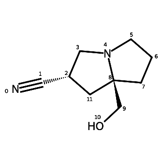 N#C[C@@H]1CN2CCC[C@]2(CO)C1